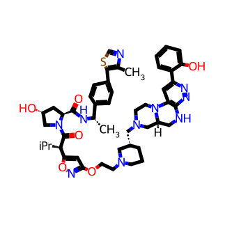 Cc1ncsc1-c1ccc([C@H](C)NC(=O)[C@@H]2C[C@@H](O)CN2C(=O)[C@@H](c2cc(OCCN3CCC[C@@H](CN4CCN5c6cc(-c7ccccc7O)nnc6NC[C@H]5C4)C3)no2)C(C)C)cc1